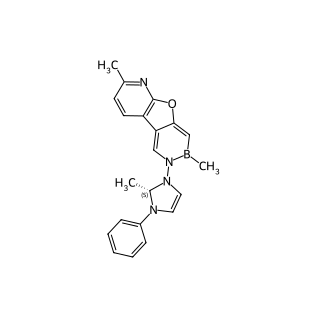 CB1C=c2oc3nc(C)ccc3c2=CN1N1C=CN(c2ccccc2)[C@@H]1C